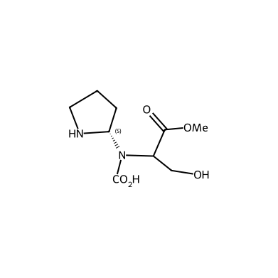 COC(=O)C(CO)N(C(=O)O)[C@H]1CCCN1